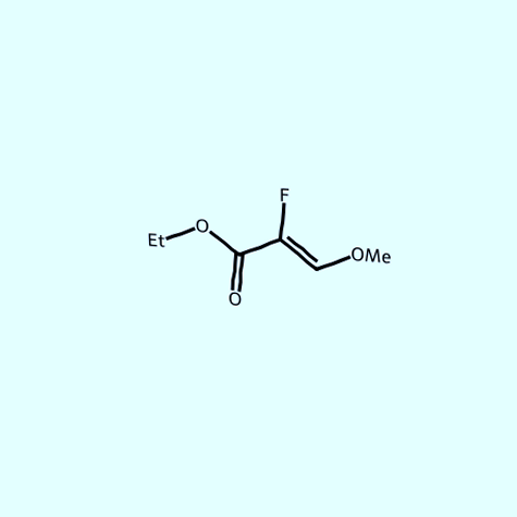 CCOC(=O)C(F)=COC